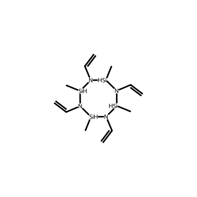 C=CN1[SiH](C)N(C=C)[SiH](C)N(C=C)[SiH](C)N(C=C)[SiH]1C